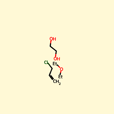 C=CCCl.CCOCC.OCCO